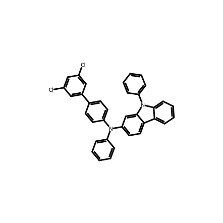 Clc1cc(Cl)cc(-c2ccc(N(c3ccccc3)c3ccc4c5ccccc5n(-c5ccccc5)c4c3)cc2)c1